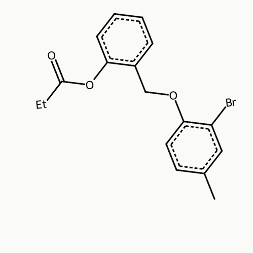 CCC(=O)Oc1ccccc1COc1ccc(C)cc1Br